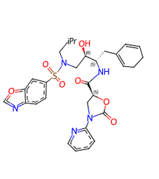 CC(C)CN(C[C@@H](O)[C@H](CC1=CCCC=C1)NC(=O)[C@@H]1CN(c2ccccn2)C(=O)O1)S(=O)(=O)c1ccc2ncoc2c1